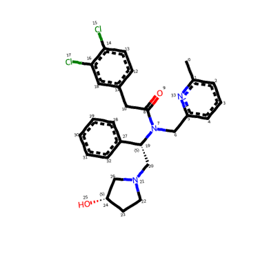 Cc1cccc(CN(C(=O)Cc2ccc(Cl)c(Cl)c2)[C@H](CN2CC[C@H](O)C2)c2ccccc2)n1